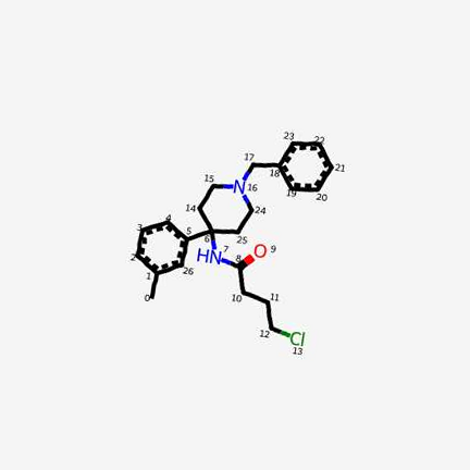 Cc1cccc(C2(NC(=O)CCCCl)CCN(Cc3ccccc3)CC2)c1